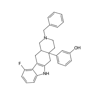 Oc1cccc(C23CCN(Cc4ccccc4)CC2Cc2c([nH]c4cccc(F)c24)C3)c1